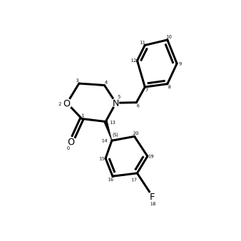 O=C1OCCN(Cc2ccccc2)C1[C@@H]1C=CC(F)=CC1